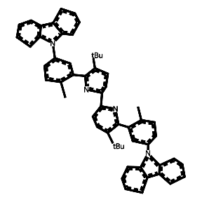 Cc1ccc(-n2c3ccccc3c3ccccc32)cc1-c1nc(-c2ccc(C(C)(C)C)c(-c3cc(-n4c5ccccc5c5ccccc54)ccc3C)n2)ccc1C(C)(C)C